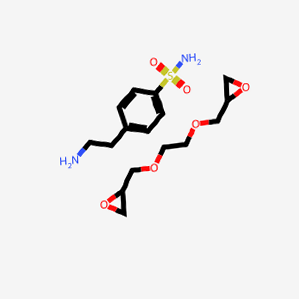 C(COCC1CO1)OCC1CO1.NCCc1ccc(S(N)(=O)=O)cc1